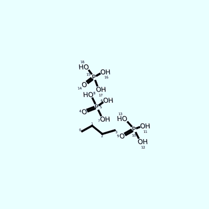 CCCC.O=P(O)(O)O.O=P(O)(O)O.O=P(O)(O)O